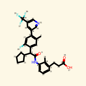 Cc1cc(C(C(=O)Nc2cccc(CCC(=O)O)c2C)C2CCCC2)c(F)cc1-c1cncc(C(F)(F)F)c1